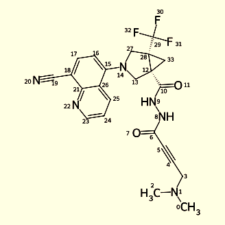 CN(C)CC#CC(=O)NNC(=O)[C@]12CN(c3ccc(C#N)c4ncccc34)C[C@@]1(C(F)(F)F)C2